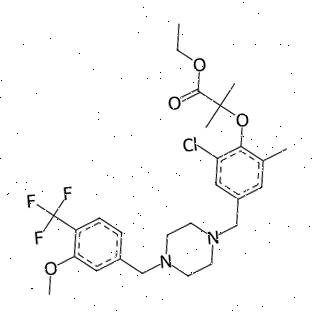 CCOC(=O)C(C)(C)Oc1c(C)cc(CN2CCN(Cc3ccc(C(F)(F)F)c(OC)c3)CC2)cc1Cl